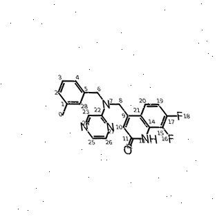 Cc1cccc(CN(Cc2cc(=O)[nH]c3c(F)c(F)ccc23)c2cnccn2)c1